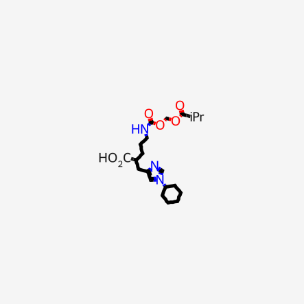 CC(C)C(=O)OCOC(=O)NCCCC(Cc1cn(C2CCCCC2)cn1)C(=O)O